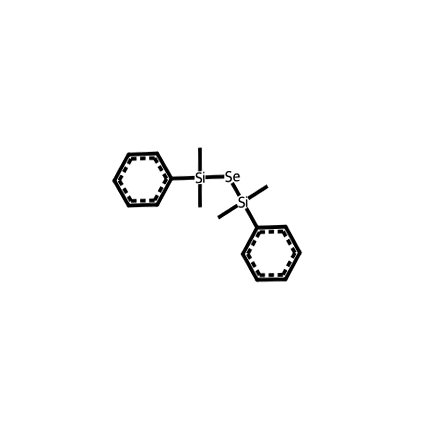 C[Si](C)([Se][Si](C)(C)c1ccccc1)c1ccccc1